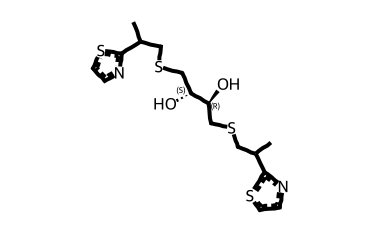 CC(CSC[C@@H](O)[C@@H](O)CSCC(C)c1nccs1)c1nccs1